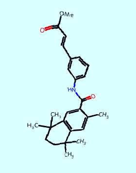 COC(=O)/C=C/c1cccc(NC(=O)c2cc3c(cc2C)C(C)(C)CCC3(C)C)c1